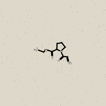 C=CC(=O)N1CCCC1C(=O)NCC